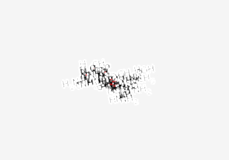 CCCC[C@@H](C(=O)N[C@@H](CCCNC(=N)N)C(=O)NC(CSCC(=O)N[C@@H](Cc1ccc(O)cc1)C(=O)NC)C(=O)NCC(N)=O)N(C)C(=O)[C@H](C)N(C)C(=O)[C@H](Cc1c[nH]c2ccccc12)NC(=O)[C@H](CO)NC(=O)[C@H](Cc1c[nH]c2ccccc12)NC(=O)[C@@H]1C[C@@H](O)CN1C(=O)[C@H](CC(C)C)NC(=O)[C@H](Cc1cnc[nH]1)NC(=O)[C@@H]1CCCN1C(=O)[C@@H](N)CC(N)=O